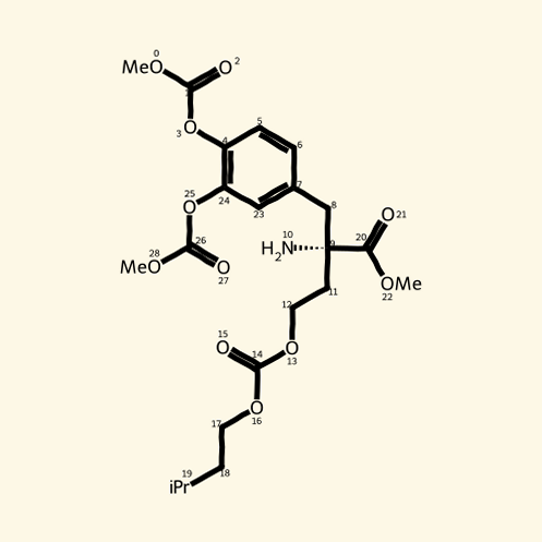 COC(=O)Oc1ccc(C[C@](N)(CCOC(=O)OCCC(C)C)C(=O)OC)cc1OC(=O)OC